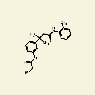 Cc1cccnc1NC(=O)CC(C)(C)c1cccc(NC(=O)CC(C)C)n1